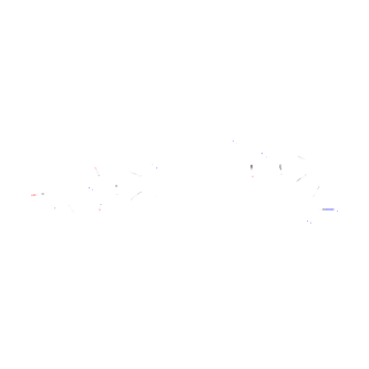 CCC1(c2cccc(N3CCN(CCOC4CCN(c5cc6c(cc5F)C(=O)N(C5CCC(=O)NC5=O)C6=O)CC4)CC3=O)c2)CNc2nccc(Cl)c21